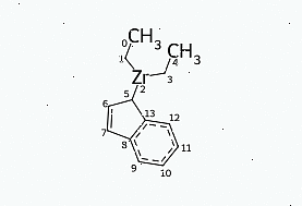 C[CH2][Zr]([CH2]C)[CH]1C=Cc2ccccc21